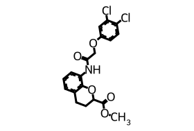 COC(=O)C1CCc2cccc(NC(=O)COc3ccc(Cl)c(Cl)c3)c2O1